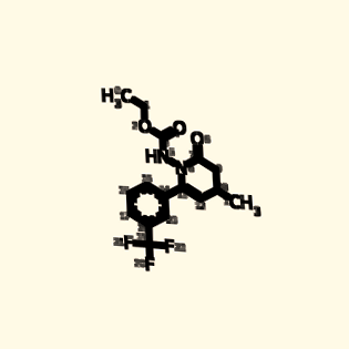 CCOC(=O)NN1C(=O)CC(C)C=C1c1cccc(C(F)(F)F)c1